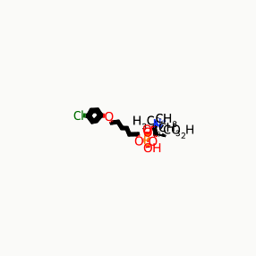 C[N+](C)(C)C([O-])[C@@H](CC(=O)O)OP(=O)(O)OCCCCCCOc1ccc(Cl)cc1